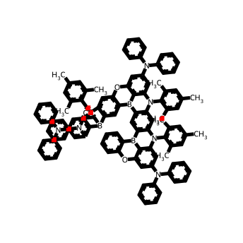 Cc1cc(C)c(N2c3cc4c(cc3B3c5ccccc5Oc5cc(N(c6ccccc6)c6ccccc6)cc2c53)B2c3cc5c(cc3Oc3cc(N(c6ccccc6)c6ccccc6)cc(c32)N4c2c(C)cc(C)cc2C)N(c2c(C)cc(C)cc2C)c2cc(N(c3ccccc3)c3ccccc3)cc3c2B5c2ccccc2N3c2ccccc2)c(C)c1